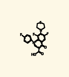 O=C(O)c1cn(-c2ccc(F)cc2)c2c(F)c(N3CCSCC3)c(F)cc2c1=O